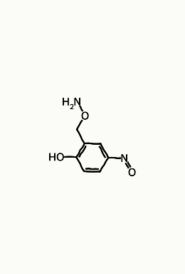 NOCc1cc(N=O)ccc1O